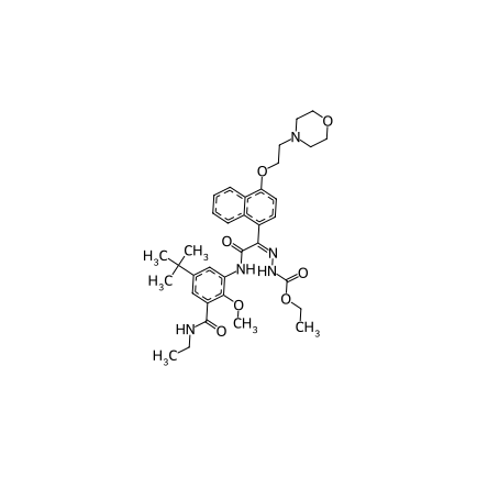 CCNC(=O)c1cc(C(C)(C)C)cc(NC(=O)/C(=N\NC(=O)OCC)c2ccc(OCCN3CCOCC3)c3ccccc23)c1OC